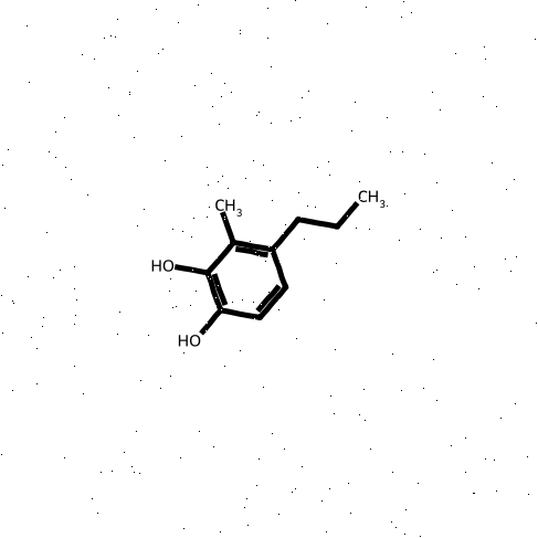 CCCc1ccc(O)c(O)c1C